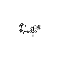 CNCc1cnnn1CC(=O)N1CC(Oc2ccc3c(c2C(=O)O)C[B-](O)(O)CC3)C1